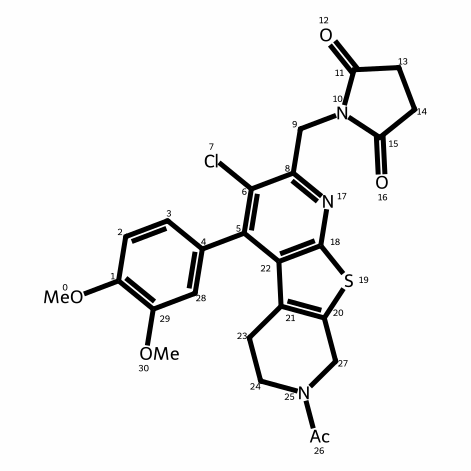 COc1ccc(-c2c(Cl)c(CN3C(=O)CCC3=O)nc3sc4c(c23)CCN(C(C)=O)C4)cc1OC